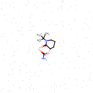 CC(C)(C)N1CCC[C@H](OC(N)=O)C1=O